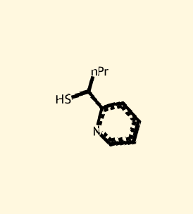 CCCC(S)c1ccccn1